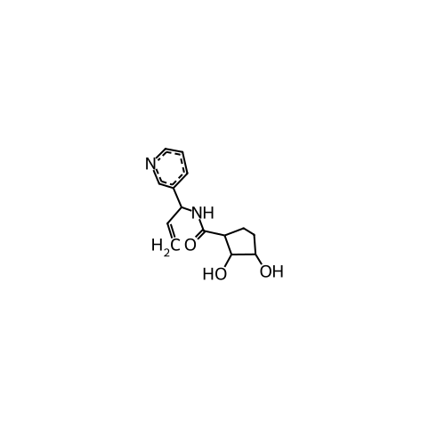 C=CC(NC(=O)C1CCC(O)C1O)c1cccnc1